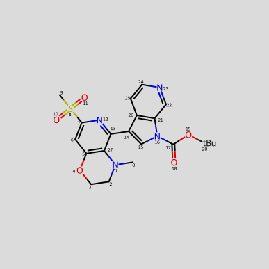 CN1CCOc2cc(S(C)(=O)=O)nc(-c3cn(C(=O)OC(C)(C)C)c4cnccc34)c21